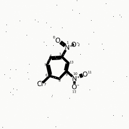 O=[N+]([O-])C1=CC=C(Cl)CC([N+](=O)[O-])=C1